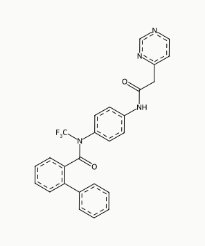 O=C(Cc1ccncn1)Nc1ccc(N(C(=O)c2ccccc2-c2ccccc2)C(F)(F)F)cc1